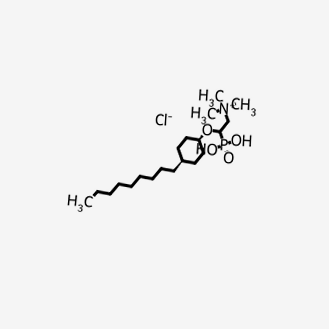 CCCCCCCCC[C@H]1CC[C@@H](OC(C[N+](C)(C)C)P(=O)(O)O)CC1.[Cl-]